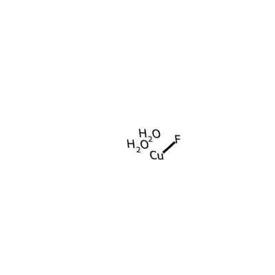 O.O.[F][Cu]